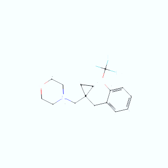 FC(F)(F)Oc1c[c]ccc1CC1(CN2CCOCC2)CC1